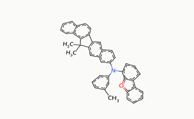 Cc1cccc(N(c2ccc3cc4c(cc3c2)C(C)(C)c2c-4ccc3ccccc23)c2cccc3c2oc2ccccc23)c1